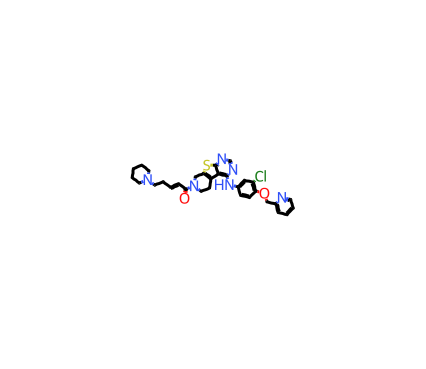 O=C(/C=C/CCN1CCCCC1)N1CCc2c(sc3ncnc(Nc4ccc(OCc5ccccn5)c(Cl)c4)c23)C1